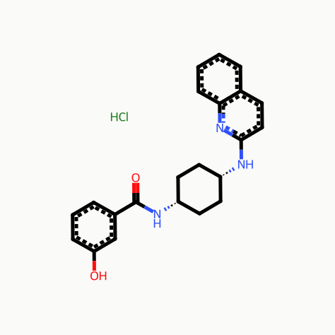 Cl.O=C(N[C@H]1CC[C@@H](Nc2ccc3ccccc3n2)CC1)c1cccc(O)c1